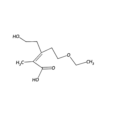 CCOCCC(CCO)=C(C)C(=O)O